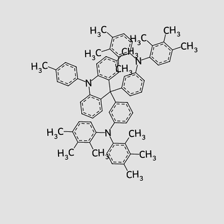 Cc1ccc(N2c3ccccc3C(c3cccc(N(c4ccc(C)c(C)c4C)c4ccc(C)c(C)c4C)c3)(c3cccc(N(c4ccc(C)c(C)c4C)c4ccc(C)c(C)c4C)c3)c3cc(C)ccc32)cc1